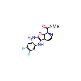 CNC(=O)c1nccc2c(Nc3ccc(F)c(F)c3)c(N)oc12